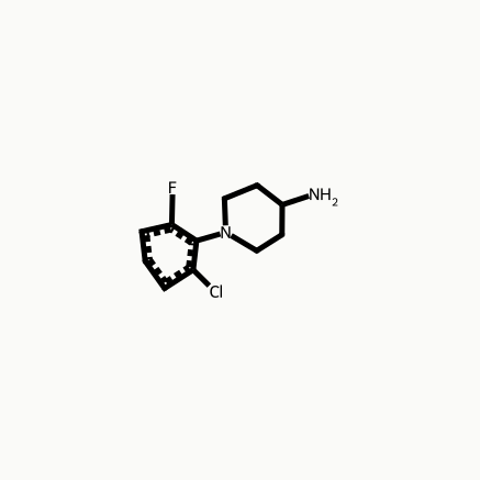 NC1CCN(c2c(F)cccc2Cl)CC1